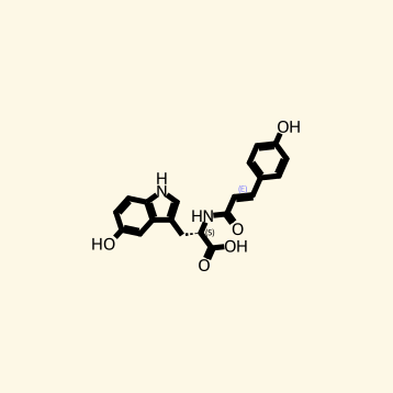 O=C(/C=C/c1ccc(O)cc1)N[C@@H](Cc1c[nH]c2ccc(O)cc12)C(=O)O